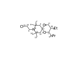 CCCC1OC2(CC(C)(C)N(CCCl)C(C)(C)C2)OCC1CC